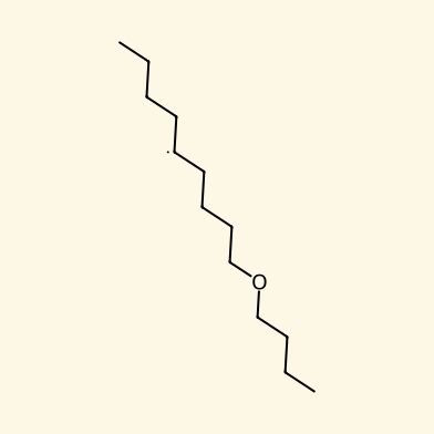 CCCC[CH]CCCCOCCCC